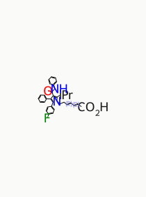 CC(C)c1c(C(=O)Nc2ccccc2)c(-c2ccccc2)c(-c2ccc(F)cc2)n1CC/C=C/C=C/C(=O)O